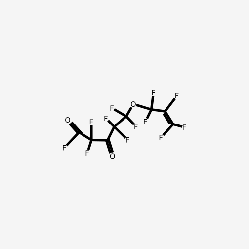 O=C(F)C(F)(F)C(=O)C(F)(F)C(F)(F)OC(F)(F)C(F)=C(F)F